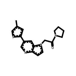 Cc1csc(-c2cnc3ccn(CC(=O)N4CCCC4)c3c2)c1